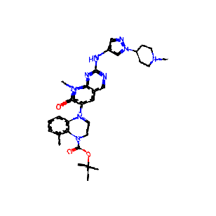 Cc1cccc2c1N(C(=O)OC(C)(C)C)CCN2c1cc2cnc(Nc3cnn(C4CCN(C)CC4)c3)nc2n(C)c1=O